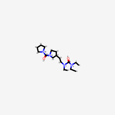 CCN(CC)C(=O)N(CC)CCC1CCN(C(=O)N2CCCC2)C1